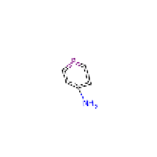 Nc1ccpcc1